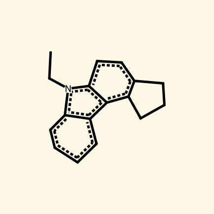 CCn1c2ccccc2c2c3c(ccc21)CCC3